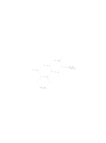 CC1C2=C(CC(=O)N1C#N)CN(Br)c1ncccc12